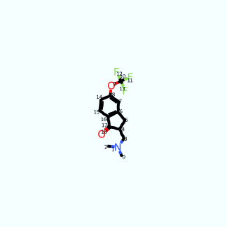 CN(C)CC1Cc2cc(OC(F)(F)F)ccc2C1=O